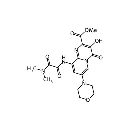 COC(=O)c1nc2c(NC(=O)C(=O)N(C)C)cc(N3CCOCC3)cn2c(=O)c1O